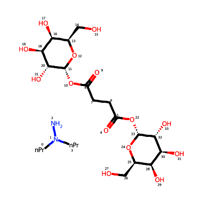 CCCN(N)CCC.O=C(CCC(=O)O[C@H]1O[C@H](CO)[C@H](O)[C@H](O)[C@H]1O)O[C@H]1O[C@H](CO)[C@H](O)[C@H](O)[C@H]1O